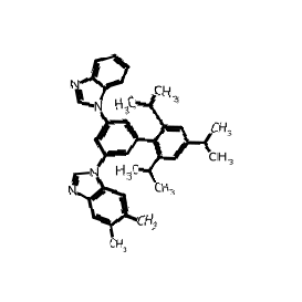 Cc1cc2ncn(-c3cc(-c4c(C(C)C)cc(C(C)C)cc4C(C)C)cc(-n4cnc5ccccc54)c3)c2cc1C